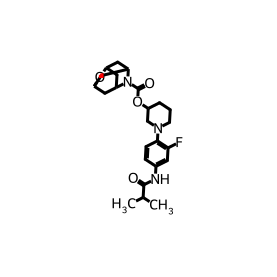 CC(C)C(=O)Nc1ccc(N2CCCC(OC(=O)N3C4CC5CC3CC(C4)O5)C2)c(F)c1